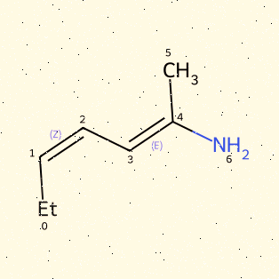 CC/C=C\C=C(/C)N